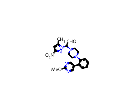 COc1ncc(-c2ccccc2N2CCN(C(C=O)n3nc([N+](=O)[O-])cc3C)CC2)cn1